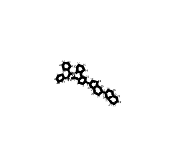 c1ccc(-c2nc3c4ccc(-c5ccc6cc(-c7ccc8ccccc8c7)ccc6c5)cc4c4ccccc4n3c2-c2ccccc2)cc1